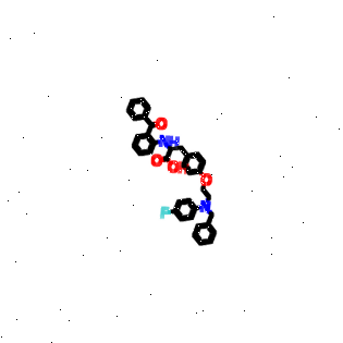 O=C(c1ccccc1)c1ccccc1N[C@@H](Cc1ccc(OCCN(Cc2ccccc2)c2ccc(F)cc2)cc1)C(=O)O